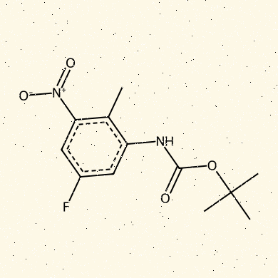 Cc1c(NC(=O)OC(C)(C)C)cc(F)cc1[N+](=O)[O-]